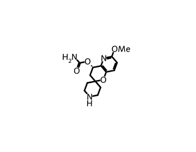 COc1ccc2c(n1)[C@@H](OC(N)=O)CC1(CCNCC1)O2